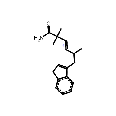 CC(/C=C/C(C)(C)C(N)=O)CC1=CCc2ccccc21